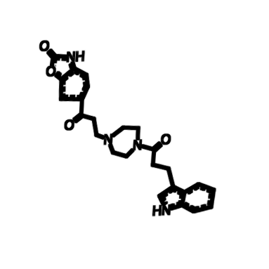 O=C(CCN1CCN(C(=O)CCc2c[nH]c3ccccc23)CC1)c1ccc2[nH]c(=O)oc2c1